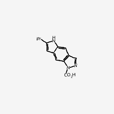 CC(C)c1cc2cc3c(cnn3C(=O)O)cc2[nH]1